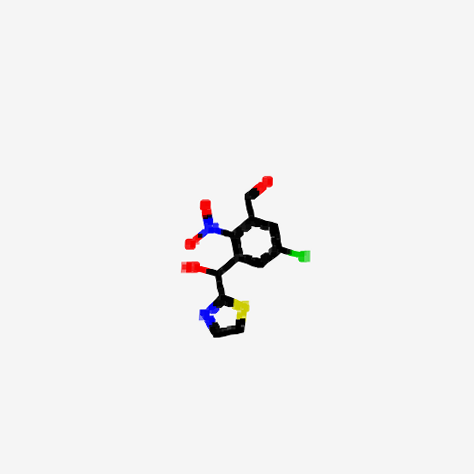 O=Cc1cc(Cl)cc(C(O)c2nccs2)c1[N+](=O)[O-]